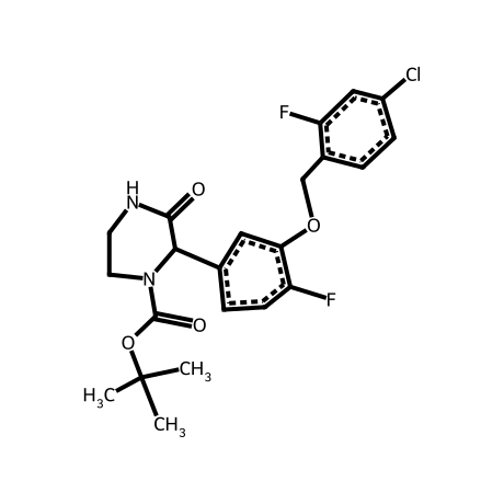 CC(C)(C)OC(=O)N1CCNC(=O)C1c1ccc(F)c(OCc2ccc(Cl)cc2F)c1